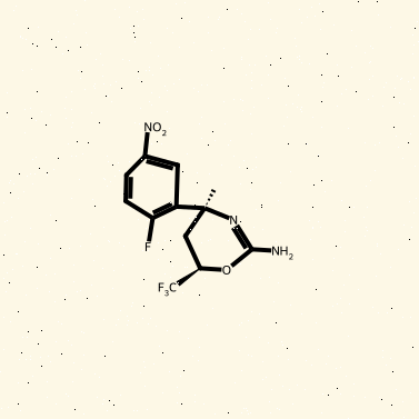 C[C@@]1(c2cc([N+](=O)[O-])ccc2F)C[C@H](C(F)(F)F)OC(N)=N1